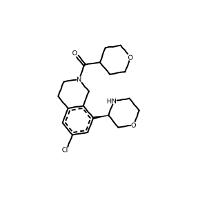 O=C(C1CCOCC1)N1CCc2cc(Cl)cc([C@@H]3COCCN3)c2C1